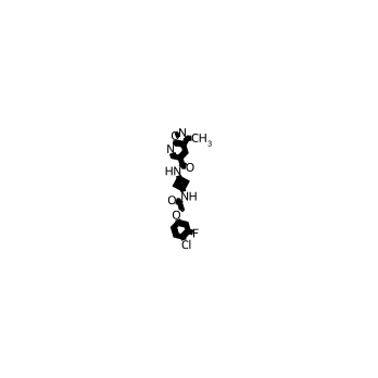 Cc1noc2ncc(C(=O)NC34CC(NC(=O)COc5ccc(Cl)c(F)c5)(C3)C4)cc12